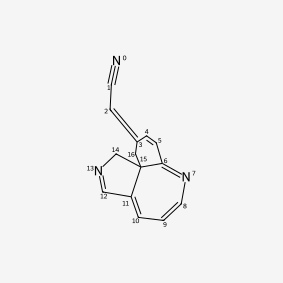 N#CC=C1C=CC2=NC=CC=C3C=NCC32C1